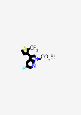 CCOC(=O)Cn1cc(-c2ccsc2C(F)(F)F)c2cc(F)cnc21